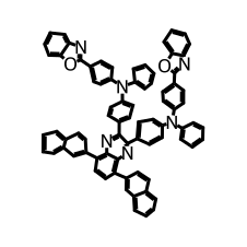 c1ccc(N(c2ccc(-c3nc4ccccc4o3)cc2)c2ccc(-c3nc4c(-c5ccc6ccccc6c5)ccc(-c5ccc6ccccc6c5)c4nc3-c3ccc(N(c4ccccc4)c4ccc(-c5nc6ccccc6o5)cc4)cc3)cc2)cc1